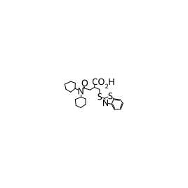 O=C(O)C(CSc1nc2ccccc2s1)CC(=O)N(C1CCCCC1)C1CCCCC1